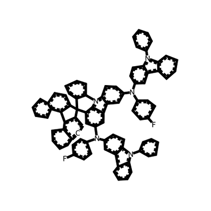 Fc1ccc(N(c2ccc3c(c2)c2ccccc2n3-c2ccccc2)c2ccc3c(c2)c2cc(N(c4ccc(F)cc4)c4ccc5c(c4)c4ccccc4n5-c4ccccc4)cc4c2n3-c2ccccc2C42c3ccc4ccccc4c3-c3c2ccc2ccccc32)cc1